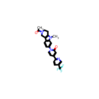 CC(=O)N1CCc2c(c3ccc(-n4ccc(-c5ccc(C(F)(F)F)cn5)cc4=O)cc3n2C)C1